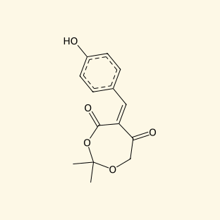 CC1(C)OCC(=O)/C(=C/c2ccc(O)cc2)C(=O)O1